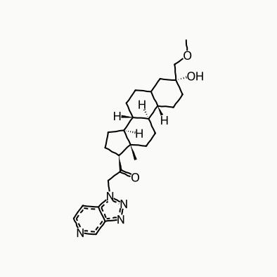 COC[C@@]1(O)CC[C@H]2C(CC[C@@H]3[C@@H]2CC[C@]2(C)[C@@H](C(=O)Cn4nnc5cnccc54)CC[C@@H]32)C1